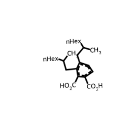 CCCCCCC(C)Cc1ccc(C(=O)O)c(C(=O)O)c1CC(C)CCCCCC